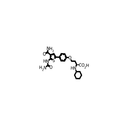 NC(=O)Nc1sc(-c2ccc(OCC[C@H](NC3CCCCC3)C(=O)O)cc2)cc1C(N)=O